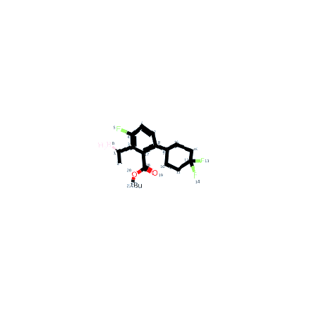 B[C@H](C)c1c(F)ccc(C2CCC(F)(F)CC2)c1C(=O)OC(C)(C)C